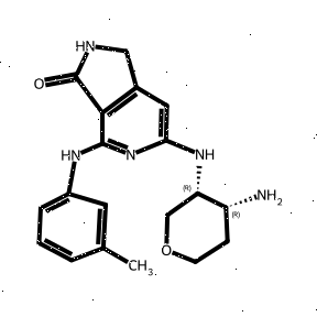 Cc1cccc(Nc2nc(N[C@H]3COCC[C@H]3N)cc3c2C(=O)NC3)c1